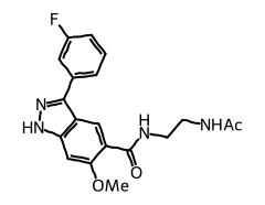 COc1cc2[nH]nc(-c3cccc(F)c3)c2cc1C(=O)NCCNC(C)=O